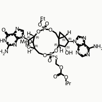 CCO[P@]1(=O)OCC23C[C@@H]2[C@@H](n2cnc4c(N)ncnc42)[C@H](O)[C@@H]3O[P@](=O)(SCOC(=O)OC(C)C)OC[C@H]2O[C@@H](n3cnc4c(=O)[nH]c(N)nc43)[C@H](O1)[C@@H]2OC